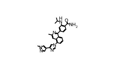 Cc1cc2c(-n3cnc(-c4cnn(C)c4)c3)cccc2c(-c2ccc(C(N)=O)c(NC(C)C)c2)n1